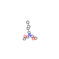 c1ccc(-c2ccc3cc(-c4ccc(N(c5ccc6c(c5)oc5ccccc56)c5ccc6c(c5)oc5ccccc56)cc4)ccc3c2)cc1